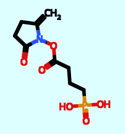 C=C1CCC(=O)N1OC(=O)CCCP(=O)(O)O